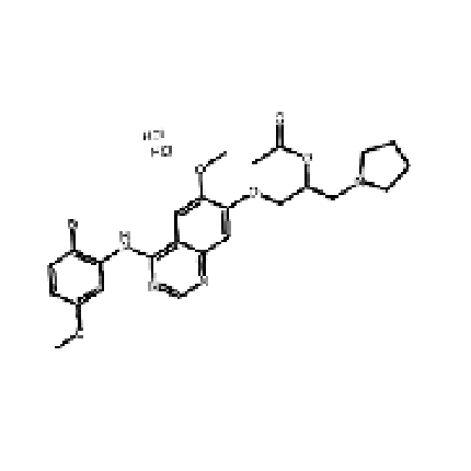 COc1ccc(Br)c(Nc2ncnc3cc(OCC(CN4CCCC4)OC(C)=O)c(OC)cc23)c1.Cl.Cl